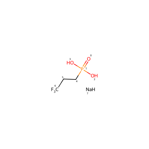 O=P(O)(O)CCC(F)(F)F.[NaH]